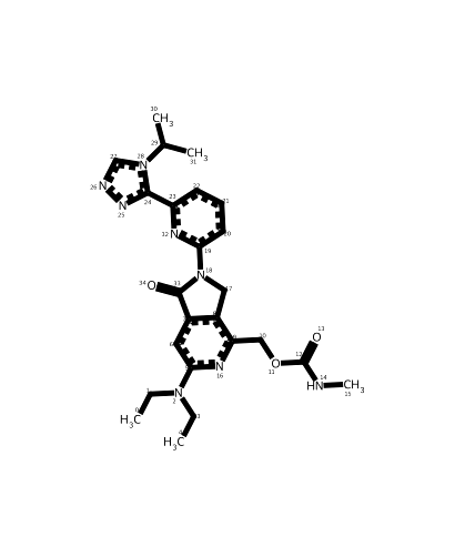 CCN(CC)c1cc2c(c(COC(=O)NC)n1)CN(c1cccc(-c3nncn3C(C)C)n1)C2=O